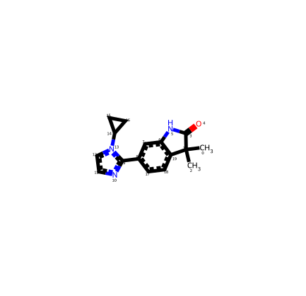 CC1(C)C(=O)Nc2cc(-c3nccn3C3CC3)ccc21